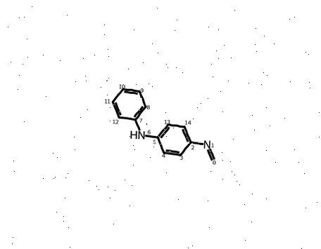 C=Nc1ccc(Nc2ccccc2)cc1